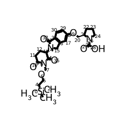 C[Si](C)(C)CCOCN1C(=O)CCC(N2Cc3cc(OC[C@H]4CCCN4C(=O)O)ccc3C2=O)C1=O